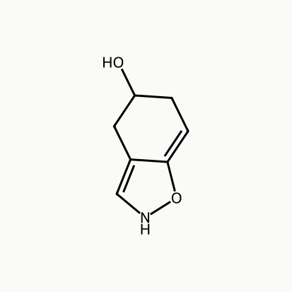 OC1CC=C2ONC=C2C1